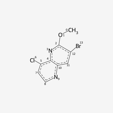 COc1nc2c(Cl)ccnc2cc1Br